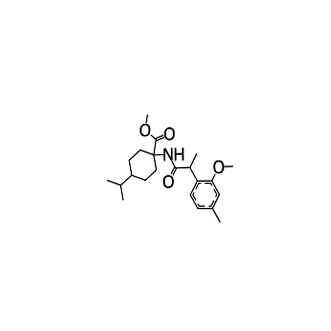 COC(=O)C1(NC(=O)C(C)c2ccc(C)cc2OC)CCC(C(C)C)CC1